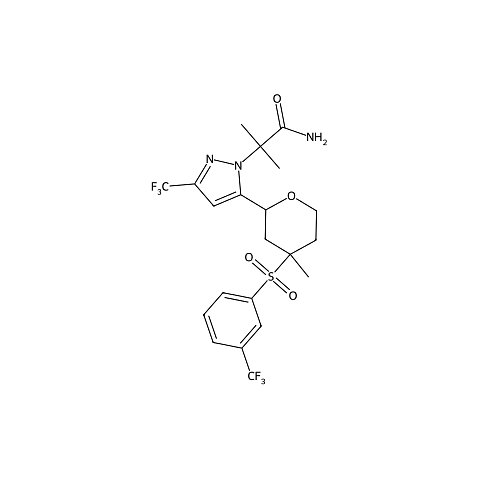 CC(C)(C(N)=O)n1nc(C(F)(F)F)cc1C1CC(C)(S(=O)(=O)c2cccc(C(F)(F)F)c2)CCO1